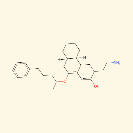 CC(CCCc1ccccc1)OC1=C2C=C(O)C(CCN)CC2[C@@H]2CCCC[C@H]2C1